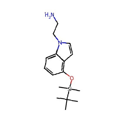 CC(C)(C)[Si](C)(C)Oc1cccc2c1ccn2CCN